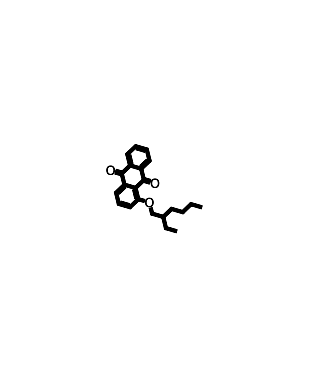 CCCCC(CC)COc1cccc2c1C(=O)c1ccccc1C2=O